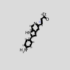 CCC(=O)/C=C/c1cc2cc(-c3ccc(N)cc3)[nH]c2cn1